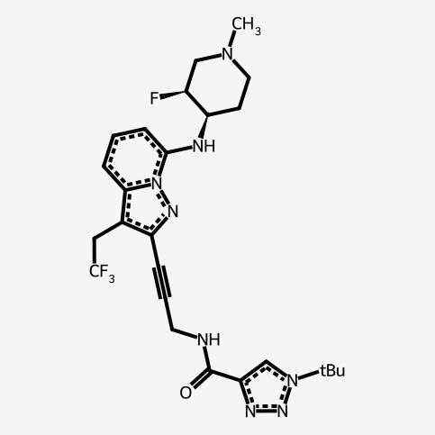 CN1CC[C@@H](Nc2cccc3c(CC(F)(F)F)c(C#CCNC(=O)c4cn(C(C)(C)C)nn4)nn23)[C@@H](F)C1